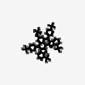 CC(C)(C)c1ccc(N2c3cc(OC(F)(F)F)cc4c3B(c3sc5c(C(C)(C)C)cccc5c32)c2sc3c(C(C)(C)C)cccc3c2N4c2ccc(C(C)(C)C)cc2)cc1